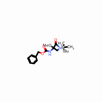 COC1(NC(=O)OCc2ccccc2)CN([Si](C)(C)C(C)(C)C)C1=O